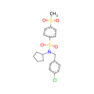 CS(=O)(=O)c1ccc(S(=O)(=O)N(Cc2ccc(Cl)cc2)C2CCCC2)cc1